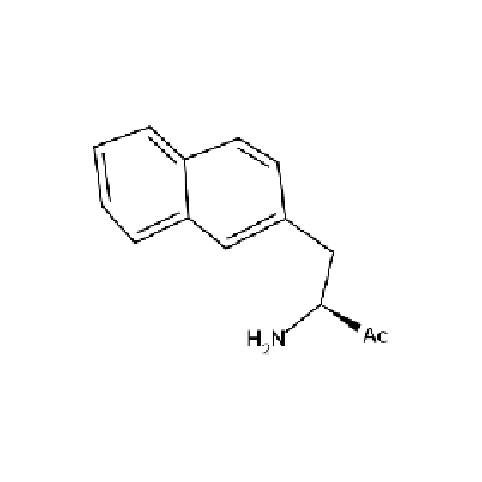 CC(=O)[C@@H](N)Cc1ccc2ccccc2c1